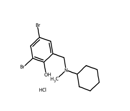 CN(Cc1cc(Br)cc(Br)c1O)C1CCCCC1.Cl